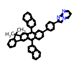 CC1(C)c2ccccc2-c2cc3c(-c4ccc5ccccc5c4)c4ccc(-c5ccc(-c6cn7cccnc7n6)cc5)cc4c(-c4ccc5ccccc5c4)c3cc21